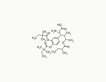 CCC(C)C(=O)OC(C)C(C)C(c1ccc(OC(=O)C(C)(C)CC)c(OC(=O)C(C)(C)CC)c1)[C@H](N)C(=O)O